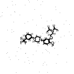 COc1ccc(N2CCN(c3cccc(C(F)(F)F)c3)CC2)cc1OCCN(C(C)C)C(C)C